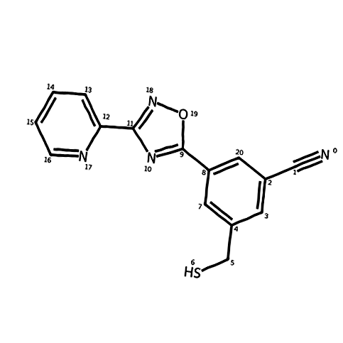 N#Cc1cc(CS)cc(-c2nc(-c3ccccn3)no2)c1